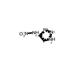 N[N+](=O)[O-].c1c[nH]nn1